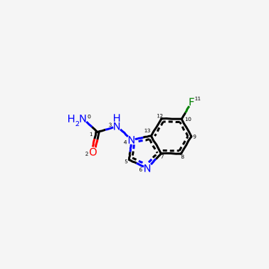 NC(=O)Nn1cnc2ccc(F)cc21